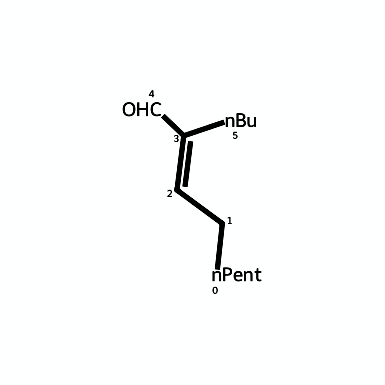 CCCCCC/C=C(/C=O)CCCC